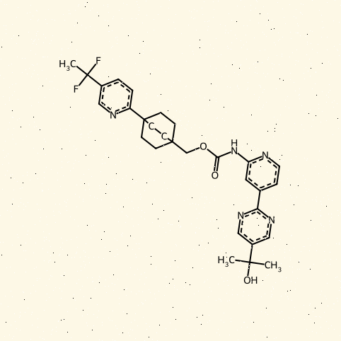 CC(C)(O)c1cnc(-c2ccnc(NC(=O)OCC34CCC(c5ccc(C(C)(F)F)cn5)(CC3)CC4)c2)nc1